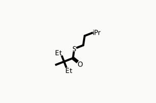 CCC(C)(CC)C(=O)SCCC(C)C